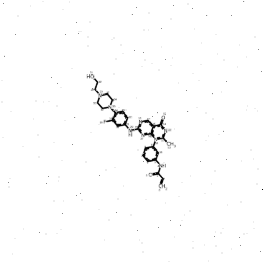 C=CC(=O)Nc1cccc(-n2c(C)nc(=O)c3cnc(Nc4ccc(N5CCN(CCO)CC5)c(F)c4)nc32)c1